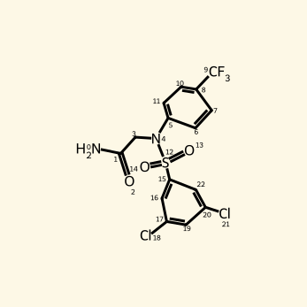 NC(=O)CN(c1ccc(C(F)(F)F)cc1)S(=O)(=O)c1cc(Cl)cc(Cl)c1